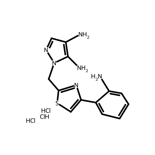 Cl.Cl.Cl.Nc1ccccc1-c1csc(Cn2ncc(N)c2N)n1